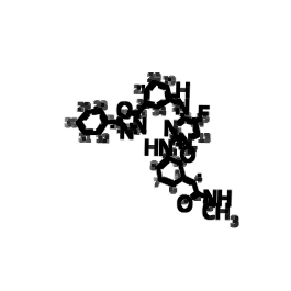 CNC(=O)C=C1C=CC=C(Nc2ncc(F)c(Nc3cccc(-c4nnc(-c5ccccc5)o4)c3)n2)C1=O